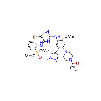 COc1cc(N2CCN(C(=O)C(F)(F)F)CC2)c(-c2cnn(C)c2)cc1Nc1ncc(Br)c(Nc2ccc(C)cc2P(=O)(OC)OC)n1